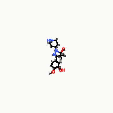 COc1ccc(C2=NN(C3CCNCC3)C(=O)C2(C)C)cc1O